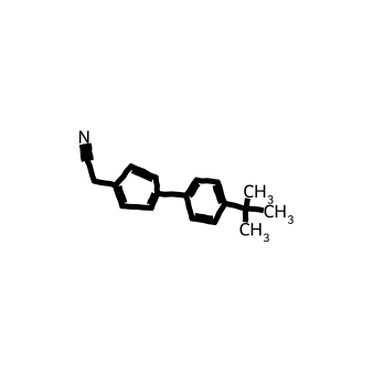 CC(C)(C)c1ccc(-c2ccc(CC#N)cc2)cc1